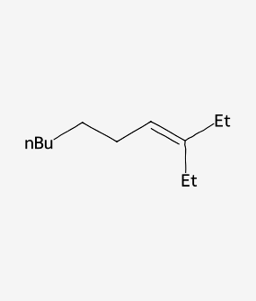 CCCCCCC=C(CC)CC